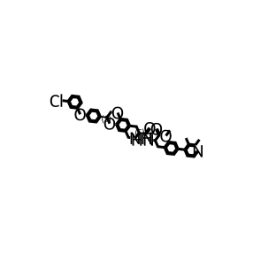 COC(=O)C(Cc1ccc(-c2ccnc(C)c2C)cc1)NC(=O)[C@@H]1Cc2cc3c(cc2CN1)O[C@@H](c1ccc(Oc2cccc(Cl)c2)cc1)CO3